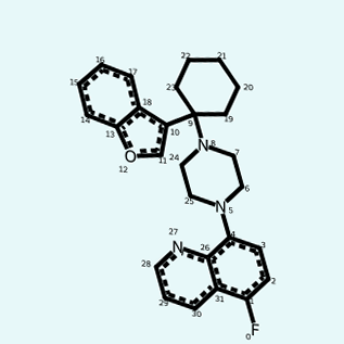 Fc1ccc(N2CCN(C3(c4coc5ccccc45)CCCCC3)CC2)c2ncccc12